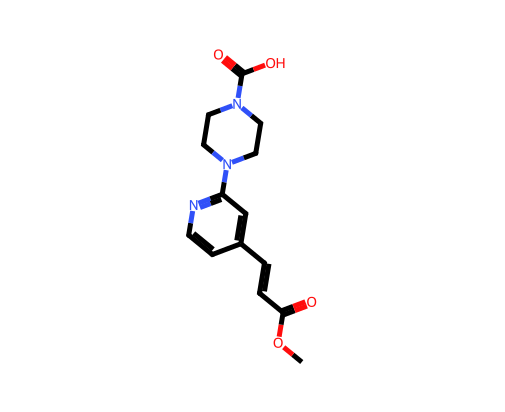 COC(=O)C=Cc1ccnc(N2CCN(C(=O)O)CC2)c1